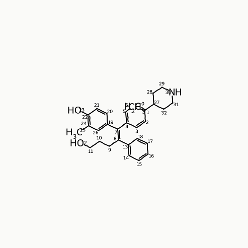 C=C(\C=C/C(=C\C)C(=C(/CCCO)c1ccccc1)/c1ccc(O)c(C)c1)C1CCNCC1